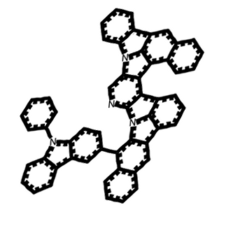 c1ccc(-n2c3ccccc3c3cc(-c4c5ccccc5cc5c6cccc7c8c9c%10c%11ccccc%11cc%11c%12ccccc%12n(c9cnc8n(c45)c67)c%11%10)ccc32)cc1